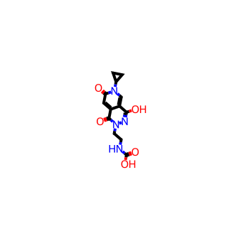 O=C(O)NCCn1nc(O)c2cn(C3CC3)c(=O)cc2c1=O